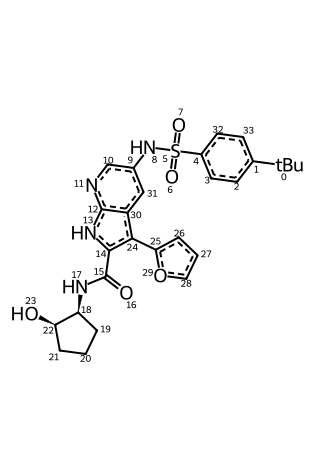 CC(C)(C)c1ccc(S(=O)(=O)Nc2cnc3[nH]c(C(=O)N[C@H]4CCC[C@H]4O)c(-c4ccco4)c3c2)cc1